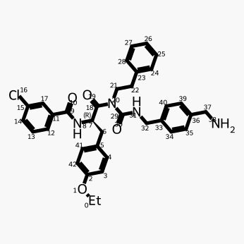 CCOc1ccc(C[C@@H](NC(=O)c2cccc(Cl)c2)C(=O)N(CCc2ccccc2)C(=O)NCc2ccc(CN)cc2)cc1